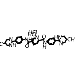 CC1CN=C(c2ccc(NC(=O)c3ccc(C(=O)Nc4ccc(C5=NCC(C)CN5)cc4)nc3)cc2)NC1.Cl.Cl